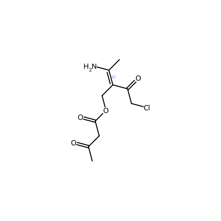 CC(=O)CC(=O)OC/C(C(=O)CCl)=C(/C)N